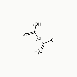 C=CCl.O=C(O)Cl